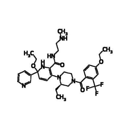 CCOc1ccc(C(=O)N2CCN(C3=C(C(=O)NCCNC)NC(OCC)(c4cccnc4)C=C3)[C@H](CC)C2)c(C(F)(F)F)c1